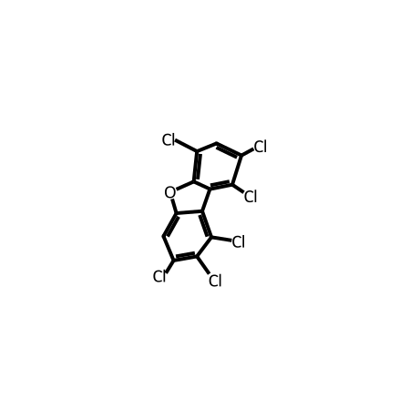 Clc1cc2oc3c(Cl)cc(Cl)c(Cl)c3c2c(Cl)c1Cl